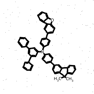 CC1(C)c2ccccc2-c2cc(-c3ccc(N(c4ccc(-c5ccc6oc7ccccc7c6c5)cc4)c4cc(-c5ccccc5)cc(-c5ccccc5)c4)cc3)ccc21